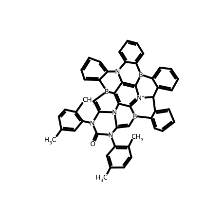 Cc1ccc(C)c(N2C(=O)N(c3cc(C)ccc3C)C3=CB4c5ccccc5C5c6ccccc6B6c7ccccc7N7c8ccccc8B8C=C2N3c2c8c7c6[n+]5c24)c1